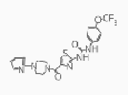 O=C(Nc1ccc(OC(F)(F)F)cc1)Nc1nc(C(=O)N2CCN(c3ccccn3)CC2)cs1